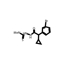 CNC(=S)NNC(=O)C(c1cccc(Br)c1)C1CC1